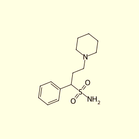 NS(=O)(=O)C(CCN1CCCCC1)c1ccccc1